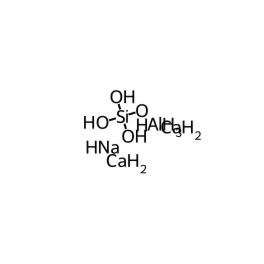 O[Si](O)(O)O.[AlH3].[CaH2].[CaH2].[NaH]